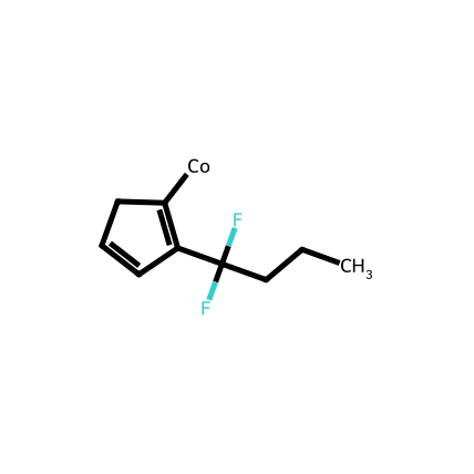 CCCC(F)(F)C1=[C]([Co])CC=C1